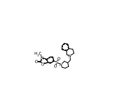 Cn1c(=O)oc2cc(S(=O)(=O)N3CCCC(CN4CCc5ccccc5C4)C3)ccc21